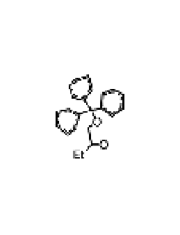 CCC(=O)COC(c1ccccc1)(c1ccccc1)c1ccccc1